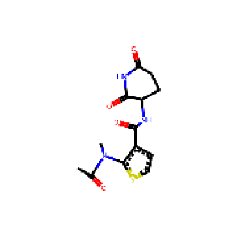 CC(=O)N(C)c1sccc1C(=O)NC1CCC(=O)NC1=O